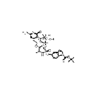 CCOC(=O)[C@H](C)NP(=O)(OC[C@H]1O[C@@H](n2ccc(N)nc2=O)[C@](C)(O)[C@@H]1O)Oc1ccc2c(ccn2C(=O)OC(C)(C)C)c1